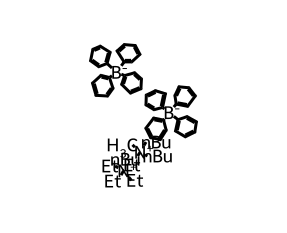 CCCC[N+](C)(CCCC)CCCC.CC[N+](CC)(CC)CC.c1ccc([B-](c2ccccc2)(c2ccccc2)c2ccccc2)cc1.c1ccc([B-](c2ccccc2)(c2ccccc2)c2ccccc2)cc1